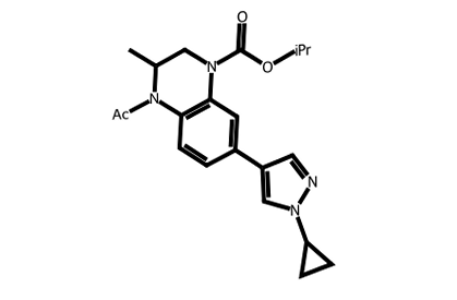 CC(=O)N1c2ccc(-c3cnn(C4CC4)c3)cc2N(C(=O)OC(C)C)CC1C